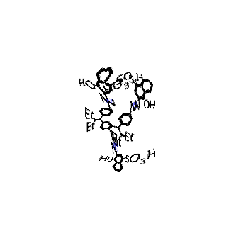 CCC(CC)C(c1ccc(/N=N/c2cc(S(=O)(=O)O)c3ccccc3c2O)cc1)c1ccc(/N=N/c2cc(S(=O)(=O)O)c3ccccc3c2O)c(C(c2ccc(/N=N/c3cc(S(=O)(=O)O)c4ccccc4c3O)cc2)C(CC)CC)c1